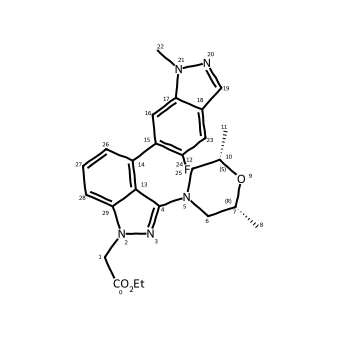 CCOC(=O)Cn1nc(N2C[C@@H](C)O[C@@H](C)C2)c2c(-c3cc4c(cnn4C)cc3F)cccc21